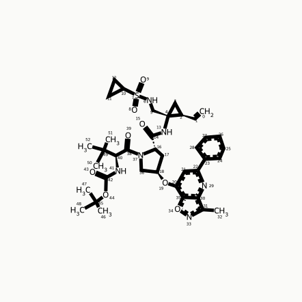 C=C[C@@H]1C[C@@]1(CNS(=O)(=O)C1CC1)NC(=O)[C@@H]1C[C@@H](Oc2cc(-c3ccccc3)nc3c(C)noc23)CN1C(=O)[C@@H](NC(=O)OC(C)(C)C)C(C)(C)C